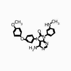 CNc1cccc(-n2c(=O)n(-c3ccc(Oc4ccc(OC)cc4)cc3)c3c(N)ncnc32)c1